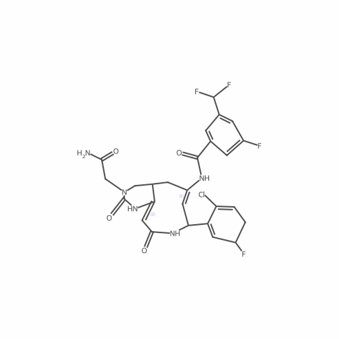 NC(=O)CN1CC2C/C(NC(=O)c3cc(F)cc(C(F)F)c3)=C/C(C3=CC(F)CC=C3Cl)NC(=O)/C=C/2NC1=O